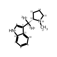 [2H]C([2H])(c1c[nH]c2ccccc12)[C@@H]1CCCN1C